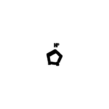 C1=CSSC1.[H+]